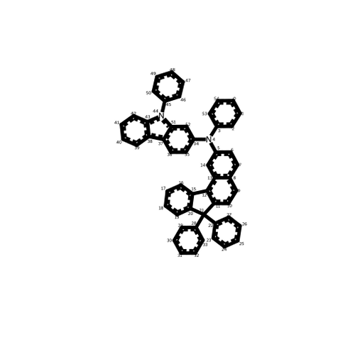 c1ccc(N(c2ccc3ccc4c(c3c2)-c2ccccc2C4(c2ccccc2)c2ccccc2)c2ccc3c4ccccc4n(-c4ccccc4)c3c2)cc1